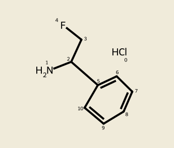 Cl.NC(CF)c1ccccc1